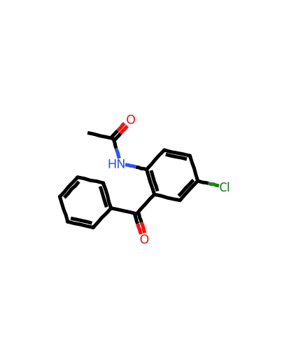 CC(=O)Nc1ccc(Cl)cc1C(=O)c1ccccc1